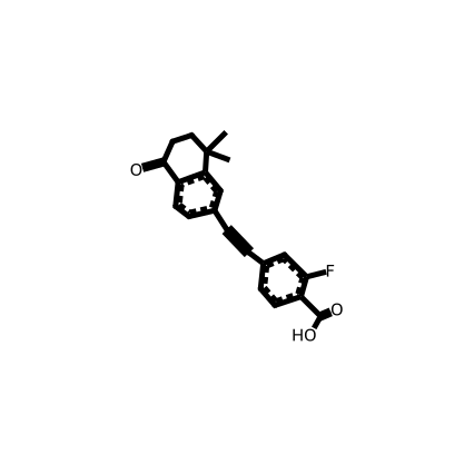 CC1(C)CCC(=O)c2ccc(C#Cc3ccc(C(=O)O)c(F)c3)cc21